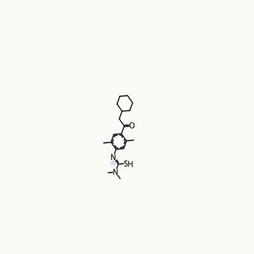 Cc1cc(C(=O)CC2CCCCC2)c(C)cc1/N=C(\S)N(C)C